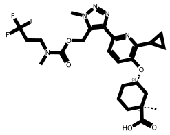 CN(CCC(F)(F)F)C(=O)OCc1c(-c2ccc(O[C@H]3CCC[C@](C)(C(=O)O)C3)c(C3CC3)n2)nnn1C